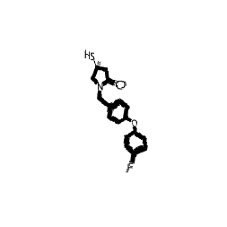 O=C1C[C@@H](S)CN1Cc1ccc(Oc2ccc(F)cc2)cc1